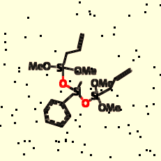 C=CC[Si](OC)(OC)O[Si](C)(O[Si](CC=C)(OC)OC)c1ccccc1